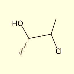 CC(Cl)[C@H](C)O